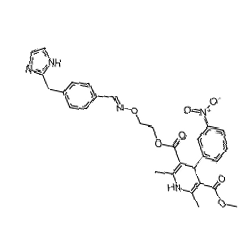 COC(=O)C1=C(C)NC(C)=C(C(=O)OCCON=Cc2ccc(Cc3ncc[nH]3)cc2)C1c1cccc([N+](=O)[O-])c1